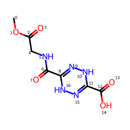 COC(=O)CNC(=O)C1=NNC(C(=O)O)=NN1